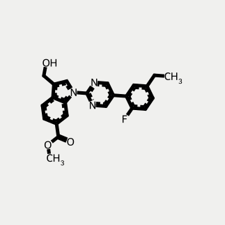 CCc1ccc(F)c(-c2cnc(-n3cc(CO)c4ccc(C(=O)OC)cc43)nc2)c1